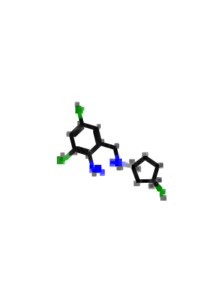 Nc1c(Br)cc(Br)cc1CN[C@@H]1CC[C@@H](F)C1